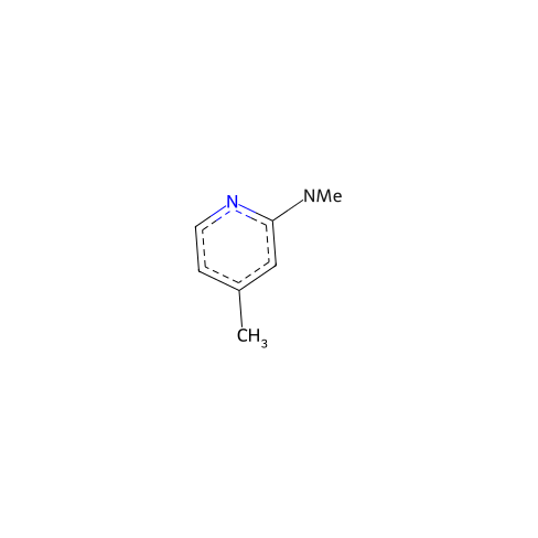 [CH2-][NH2+]c1cc(C)ccn1